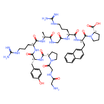 C[C@H](NC(=O)[C@H](CCCNC(=N)N)NC(=O)[C@@H](Cc1ccc(O)cc1)NC(=O)[C@@H]1CCCN1C(=O)CNC(=O)CN)C(=O)NCC(=O)N[C@@H](CCCNC(=N)N)C(=O)N[C@H](Cc1ccc2ccccc2c1)C(=O)N1CCC[C@H]1C(=O)O